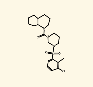 Cc1c(Cl)cccc1S(=O)(=O)N1CCC[C@H](C(=O)N2CCCC3CCCCC32)C1